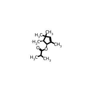 [CH2][C@@H]1[C@H](OC(=O)C(C)C)C(C)=CC1(C)C